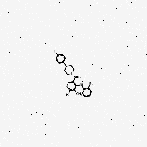 CCc1ccccc1Nc1c(C(=O)N2CCC(c3ccc(F)cc3)CC2)cnc(S)c1C